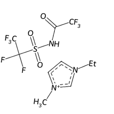 CCn1cc[n+](C)c1.O=C(NS(=O)(=O)C(F)(F)C(F)(F)F)C(F)(F)F